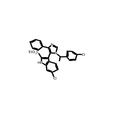 CCOC(=O)c1[nH]c2cc(Cl)ccc2c1-c1c(-c2ccccc2)ncn1C(C)c1ccc(Cl)cc1